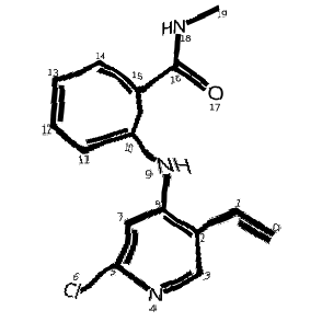 C=Cc1cnc(Cl)cc1Nc1ccccc1C(=O)NC